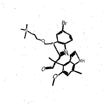 COc1cc(C)c2[nH]ccc2c1C(C)(C=O)c1nc2ccc(Br)cc2n1COCC[Si](C)(C)C